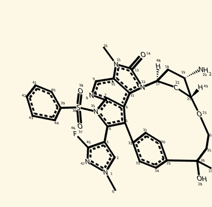 Cn1cc(-c2c3c4c(ncc5c4n(c(=O)n5C)[C@H]4C[C@H](N)[C@@H](C4)OCCC(C)(O)c4ccc-3cc4)n2S(=O)(=O)c2ccccc2)c(F)n1